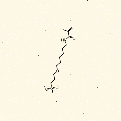 C=C(C)C(=O)NCCCCCCOCCCS(C)(=O)=O